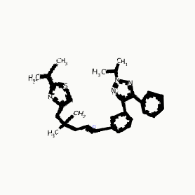 CC(C)c1nc(CC(C)(C)C/C=C/c2cccc(-c3nn(C(C)C)nc3-c3ccccc3)c2)cs1